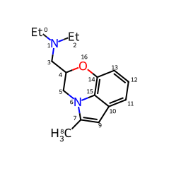 CCN(CC)CC1Cn2c(C)cc3cccc(c32)O1